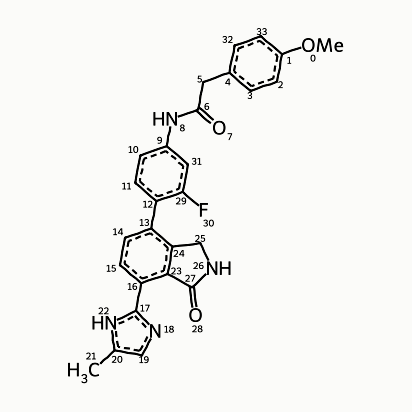 COc1ccc(CC(=O)Nc2ccc(-c3ccc(-c4ncc(C)[nH]4)c4c3CNC4=O)c(F)c2)cc1